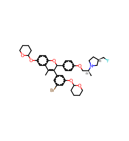 CC1=C(c2cc(Br)cc(OC3CCCCO3)c2)C(c2ccc(OC[C@H](C)N3CC[C@@H](CF)C3)cc2)Oc2ccc(OC3CCCCO3)cc21